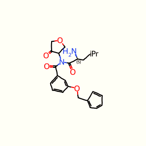 CC(C)C[C@H](N)C(=O)N(C(=O)c1cccc(OCc2ccccc2)c1)C1COCC1=O